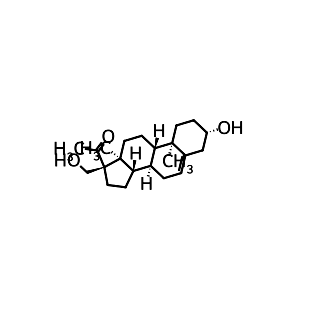 CC(=O)[C@@]1(CO)CC[C@H]2[C@@H]3CC=C4C[C@@H](O)CC[C@]4(C)[C@H]3CC[C@@]21C